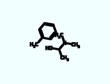 CC(O)N(C)C.Cc1ccccc1